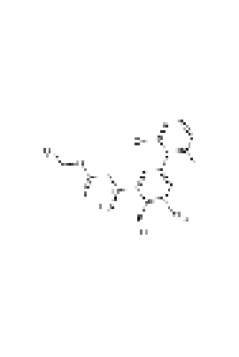 CCOC(=O)C[C@H](N)c1cc(-c2c(F)cccc2Cl)cc(C)c1F.Cl